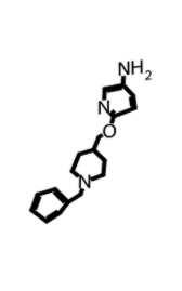 Nc1ccc(OCC2CCN(Cc3ccccc3)CC2)nc1